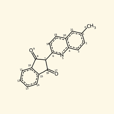 Cc1ccc2nc(C3C(=O)c4ccccc4C3=O)ccc2c1